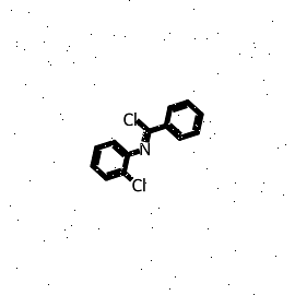 Cl/C(=N\c1ccccc1Cl)c1ccccc1